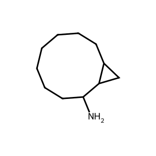 NC1CCCCCCCC2CC12